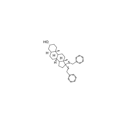 C[C@]12CC[C@@H](O)C[C@@H]1CC[C@@H]1[C@@H]2CC[C@@]2(C)[C@H]1CCC2(SCc1ccccc1)SCc1ccccc1